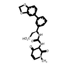 CN1C=CC(=O)C(NC(=O)N[C@@H](CC(=O)O)c2cccc(-c3ccc4c(c3)OCO4)c2)C1=O